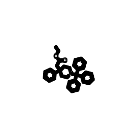 CCOC(=O)CC1(c2ccccc2)CCN(C(c2ccccc2)(c2ccccc2)c2ccccc2)CC1